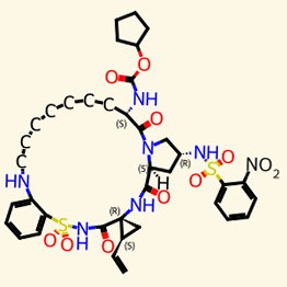 C=C[C@@H]1C[C@@]12NC(=O)[C@@H]1C[C@@H](NS(=O)(=O)c3ccccc3[N+](=O)[O-])CN1C(=O)[C@@H](NC(=O)OC1CCCC1)CCCCCCCNc1ccccc1S(=O)(=O)NC2=O